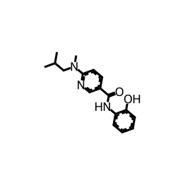 CC(C)CN(C)c1ccc(C(=O)Nc2ccccc2O)cn1